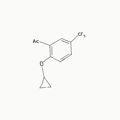 CC(=O)c1cc(C(F)(F)F)ccc1OC1CC1